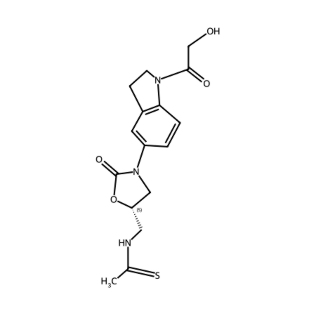 CC(=S)NC[C@H]1CN(c2ccc3c(c2)CCN3C(=O)CO)C(=O)O1